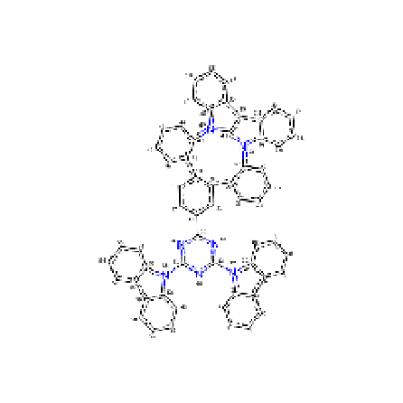 c1ccc2c(c1)c1ccccc1n2-c1nc(-c2ccc3c(c2)c2ccccc2n2c4ccccc4c4c5ccccc5n(c5ccccc35)c42)nc(-n2c3ccccc3c3ccccc32)n1